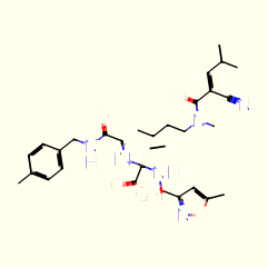 CC[C@@](NC(=O)c1cc(C)on1)(N[C@@H](CCCCN(C)C(=O)C(C#N)=CC(C)C)C(=O)NCc1ccc(C)cc1)C(=O)O